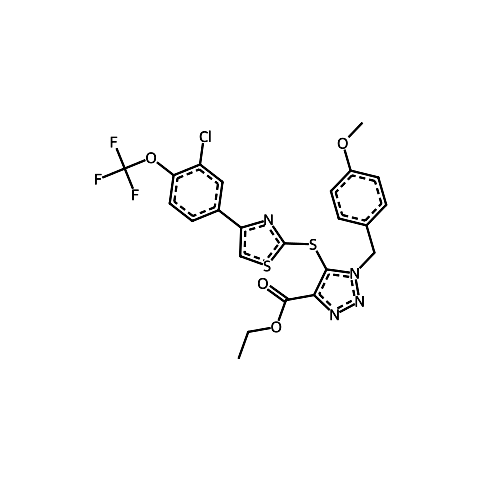 CCOC(=O)c1nnn(Cc2ccc(OC)cc2)c1Sc1nc(-c2ccc(OC(F)(F)F)c(Cl)c2)cs1